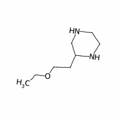 CCOCCC1CNCCN1